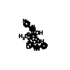 CO[C@@H]1[C@@H](n2cc(-c3ccncc3)nn2)[C@@H](O)[C@@H](CO)O[C@H]1S[C@@H]1COC[C@H](n2cc(-c3ccccc3)nn2)[C@H]1O